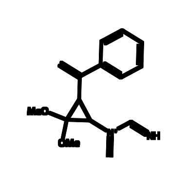 C=C(c1ccccc1)C1C([N+](=C)C=N)C1(OC)OC